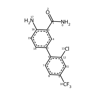 NC(=O)c1cc(-c2ccc(C(F)(F)F)cc2Cl)ccc1N